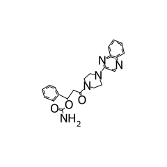 NC(=O)OC(CC(=O)N1CCN(c2cnc3ccccc3n2)CC1)c1ccccc1